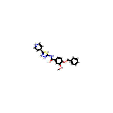 COc1cc(C(=O)Nc2nnc(-c3ccncc3)s2)ccc1OCc1ccccc1